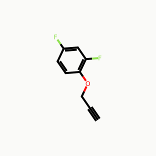 C#CCOc1ccc(F)cc1F